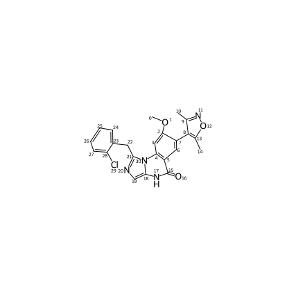 COc1cc2c(cc1-c1c(C)noc1C)c(=O)[nH]c1cnc(Cc3ccccc3Cl)n12